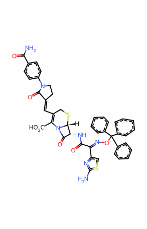 NC(=O)c1ccc(N2CCC(=CC3=C(C(=O)O)N4C(=O)[C@@H](NC(=O)C(=NOC(c5ccccc5)(c5ccccc5)c5ccccc5)c5csc(N)n5)[C@H]4SC3)C2=O)cc1